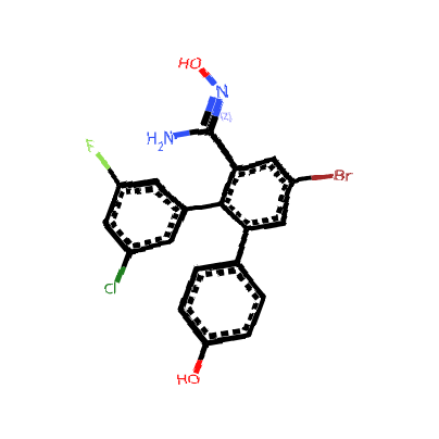 N/C(=N\O)c1cc(Br)cc(-c2ccc(O)cc2)c1-c1cc(F)cc(Cl)c1